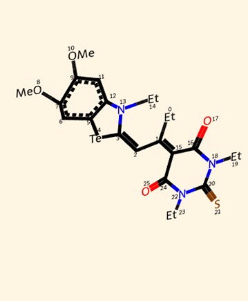 CCC(C=C1[Te]c2cc(OC)c(OC)cc2N1CC)=C1C(=O)N(CC)C(=S)N(CC)C1=O